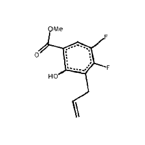 C=CCc1c(O)c(C(=O)OC)cc(F)c1F